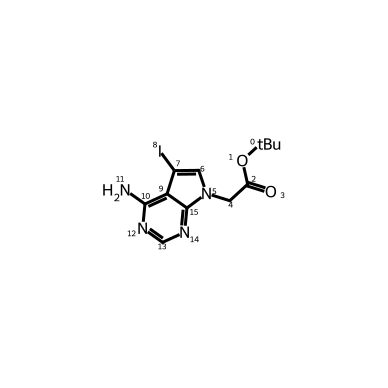 CC(C)(C)OC(=O)Cn1cc(I)c2c(N)ncnc21